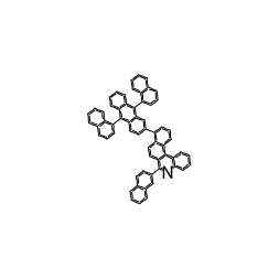 c1ccc2cc(-c3nc4ccccc4c4c3ccc3c(-c5ccc6c(-c7cccc8ccccc78)c7ccccc7c(-c7cccc8ccccc78)c6c5)cccc34)ccc2c1